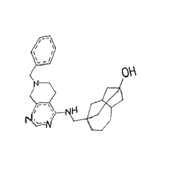 OC12CC3CCCC(CNc4ncnc5c4CCN(Cc4ccccc4)C5)(CC3C1)C2